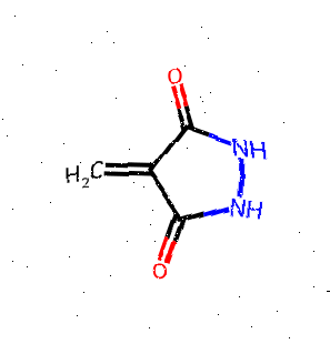 C=C1C(=O)NNC1=O